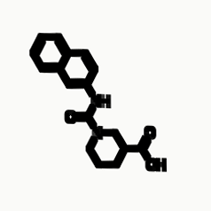 O=C(O)C1CCCN(C(=O)Nc2ccc3ccccc3c2)C1